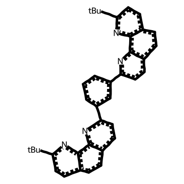 CC(C)(C)c1ccc2ccc3ccc(-c4cccc(-c5ccc6ccc7ccc(C(C)(C)C)nc7c6n5)c4)nc3c2n1